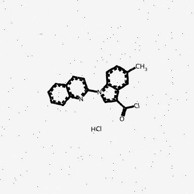 Cc1ccc2c(c1)c(C(=O)Cl)cn2-c1ccc2ccccc2n1.Cl